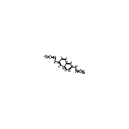 S=C=NCc1ccc2cc(CN=C=S)ccc2c1